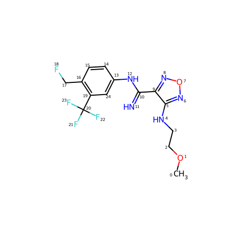 COCCNc1nonc1C(=N)Nc1ccc(CF)c(C(F)(F)F)c1